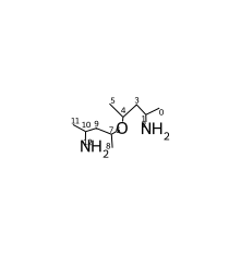 CC(N)CC(C)OC(C)CC(C)N